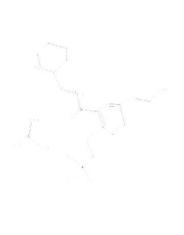 CC(=O)O.CCOc1ccc(OCC(F)(F)F)c(C(=O)NCC2CCCCN2)c1